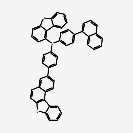 c1ccc2c(-c3ccc(N(c4ccc(-c5ccc6c(ccc7sc8ccccc8c76)c5)cc4)c4cccc5oc6ccccc6c45)cc3)cccc2c1